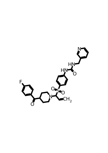 C=CC(N1CCC(C(=O)c2ccc(F)cc2)CC1)S(=O)(=O)c1ccc(NC(=O)NCc2cccnc2)cc1